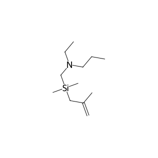 C=C(C)C[Si](C)(C)CN(CC)CCC